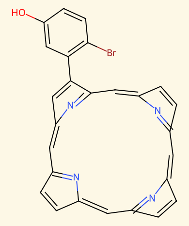 Oc1ccc(Br)c(C2=CC3=CC4=NC(=CC5=NC(=CC6=NC(=CC2=N3)C=C6)C=C5)C=C4)c1